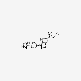 [O-][S+](CC1CC1)c1cnc2c(cnn2-c2ccc(-c3nnc[nH]3)cc2)c1